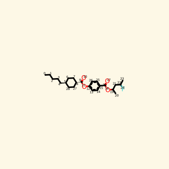 CCCCC[C@H]1CC[C@H](C(=O)Oc2ccc(C(=O)OC(C)CC(C)F)cc2)CC1